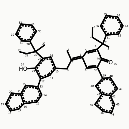 CCC(C)(C1=CC(=C(C)Cc2cc(-c3ccc4ccccc4c3)c(O)c(C(C)(CC)c3ccccc3)c2)C=C(c2ccc3ccccc3c2)C1=O)c1ccccc1